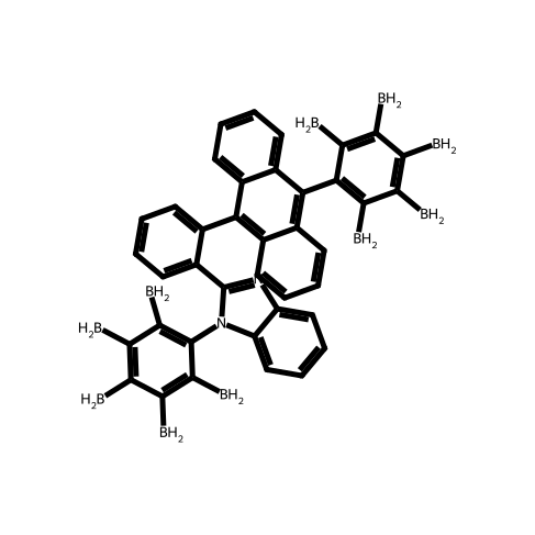 Bc1c(B)c(B)c(-c2c3ccccc3c(-c3ccccc3-c3nc4ccccc4n3-c3c(B)c(B)c(B)c(B)c3B)c3ccccc23)c(B)c1B